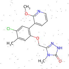 COc1ncccc1-c1cc(Cl)c(C)cc1OCc1n[nH]c(=O)n1C